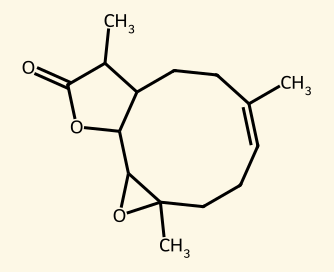 C/C1=C/CCC2(C)OC2C2OC(=O)C(C)C2CC1